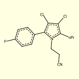 CCCc1c(Cl)c(Cl)c(-c2ccc(F)cc2)n1CCC#N